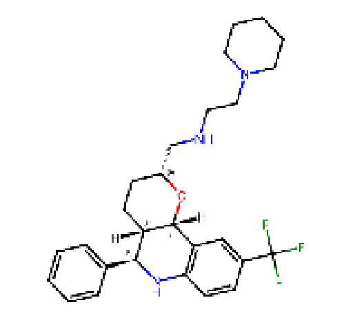 FC(F)(F)c1ccc2c(c1)[C@H]1O[C@@H](CNCCN3CCCCC3)CC[C@H]1[C@H](c1ccccc1)N2